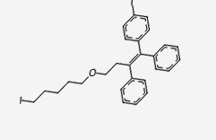 ICCCCCOCCC(=C(c1ccccc1)c1ccc(I)cc1)c1ccccc1